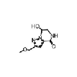 COCc1cc2n(n1)C(O)CNC2=O